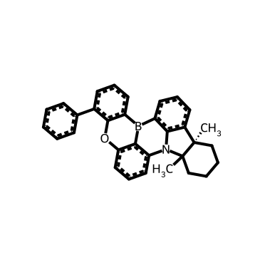 CC12CCCC[C@]1(C)c1cccc3c1N2c1cccc2c1B3c1cccc(-c3ccccc3)c1O2